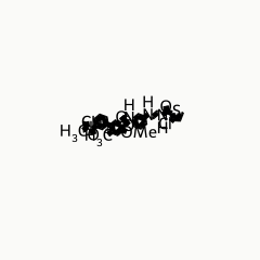 COc1cc(C)c(-c2cccc(C(=O)N(C)C)c2)cc1S(=O)(=O)Nc1cccc(NCCNC(=O)c2sccc2Cl)c1